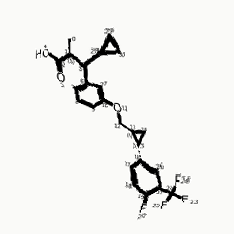 C[C@H](C(=O)O)C(c1cccc(OC[C@H]2C[C@@H]2c2ccc(F)c(C(F)(F)F)c2)c1)C1CC1